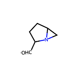 O=[C]C1CCC2CN12